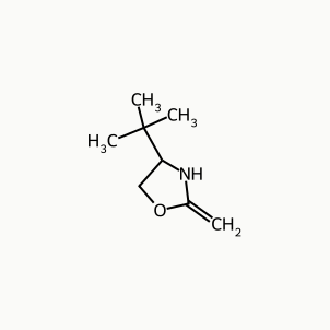 C=C1NC(C(C)(C)C)CO1